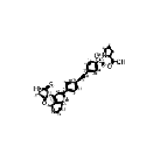 O=C(O)C1CCCN1S(=O)(=O)c1ccc(C#Cc2ccc(-c3cc(N4C(=O)CNC4=S)c4cnccc4n3)cc2)cc1